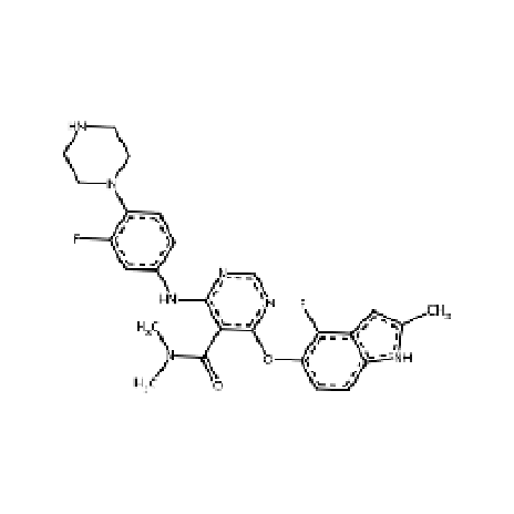 Cc1cc2c(F)c(Oc3ncnc(Nc4ccc(N5CCNCC5)c(F)c4)c3C(=O)N(C)C)ccc2[nH]1